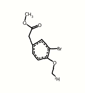 [2H]COc1ccc(CC(=O)OC)cc1Br